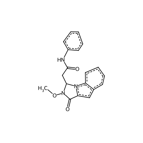 CON1C(=O)c2cc3ccccc3n2C1CC(=O)Nc1ccccc1